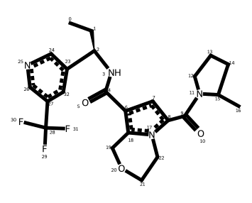 CC[C@@H](NC(=O)c1cc(C(=O)N2CCCC2C)n2c1COCC2)c1cncc(C(F)(F)F)c1